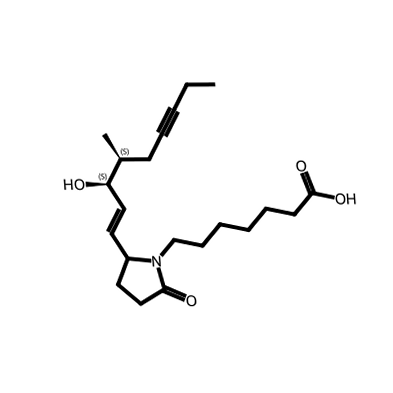 CCC#CC[C@H](C)[C@H](O)C=CC1CCC(=O)N1CCCCCCC(=O)O